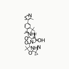 Cc1ncsc1-c1ccc([C@H](C)NC(=O)C2[C@@H](F)[C@@H](O)CN2C(=O)C(NC(=O)C2(C#N)CC2)C(C)(C)C)c(C(C)(C)C)c1